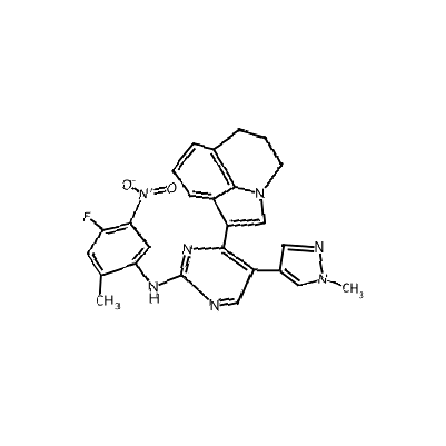 Cc1cc(F)c([N+](=O)[O-])cc1Nc1ncc(-c2cnn(C)c2)c(-c2cn3c4c(cccc24)CCC3)n1